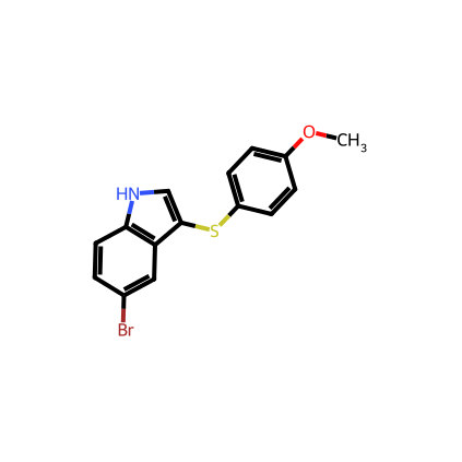 COc1ccc(Sc2c[nH]c3ccc(Br)cc23)cc1